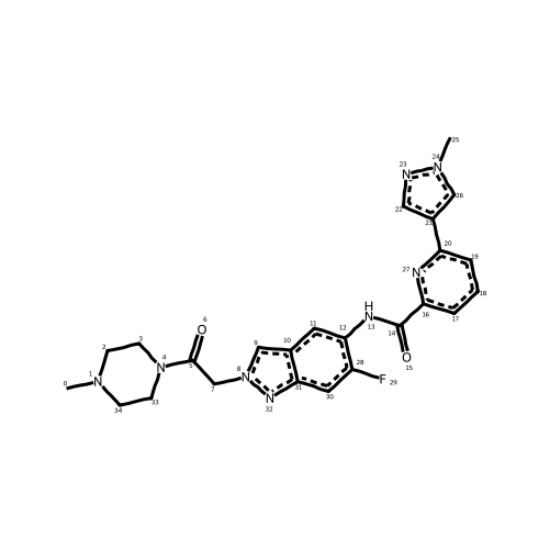 CN1CCN(C(=O)Cn2cc3cc(NC(=O)c4cccc(-c5cnn(C)c5)n4)c(F)cc3n2)CC1